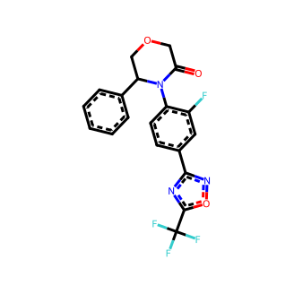 O=C1COCC(c2ccccc2)N1c1ccc(-c2noc(C(F)(F)F)n2)cc1F